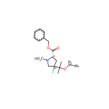 CC(C)(C)[SiH2]OC(C)(C)[C@@]1(F)C[C@@H](C(=O)OCc2ccccc2)N(C(=O)O)C1